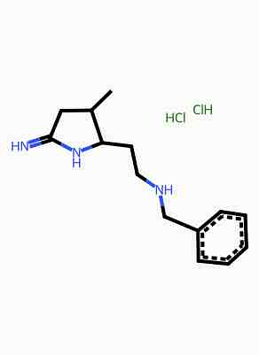 CC1CC(=N)NC1CCNCc1ccccc1.Cl.Cl